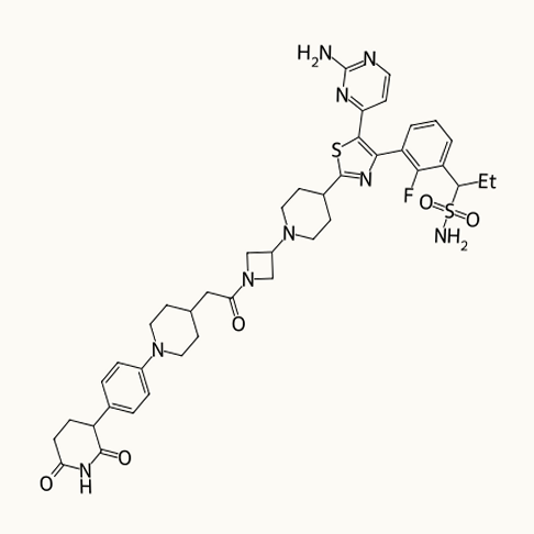 CCC(c1cccc(-c2nc(C3CCN(C4CN(C(=O)CC5CCN(c6ccc(C7CCC(=O)NC7=O)cc6)CC5)C4)CC3)sc2-c2ccnc(N)n2)c1F)S(N)(=O)=O